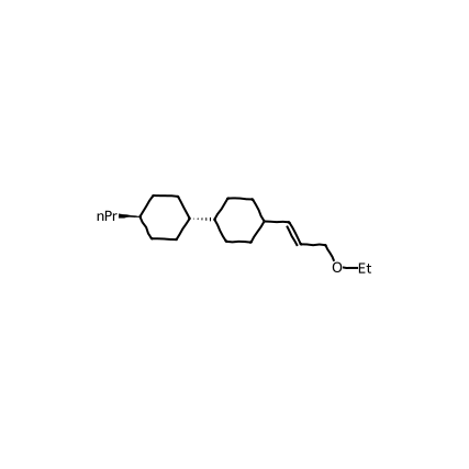 CCC[C@H]1CC[C@H](C2CCC(/C=C/COCC)CC2)CC1